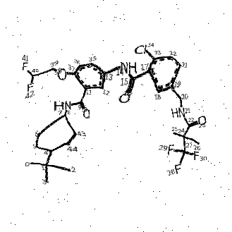 CC(C)(C)C1CCC(NC(=O)c2cc(NC(=O)c3cc(CNC(=O)C(C)(C)C(F)(F)F)ccc3Cl)ccc2OCC(F)F)CC1